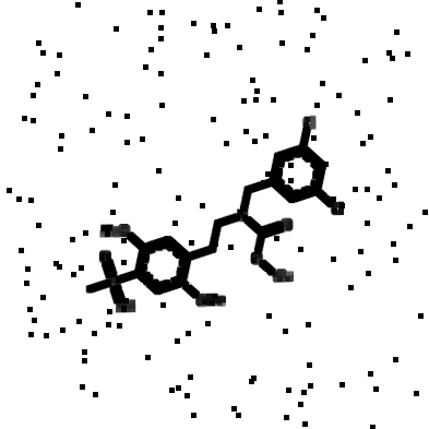 COc1cc(S(C)(=N)=O)c(OC)cc1CCN(Cc1cc(Cl)cc(Cl)c1)C(=O)OC(C)(C)C